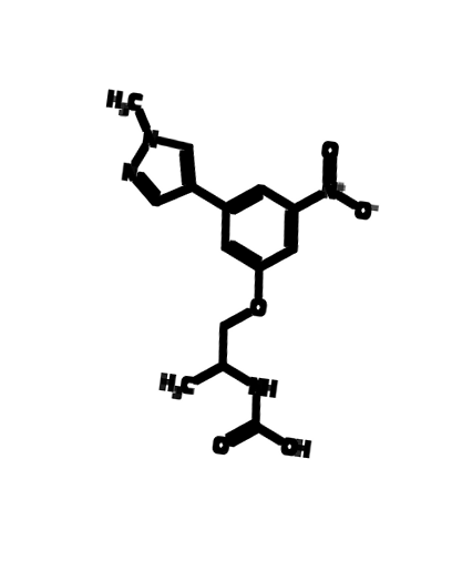 CC(COc1cc(-c2cnn(C)c2)cc([N+](=O)[O-])c1)NC(=O)O